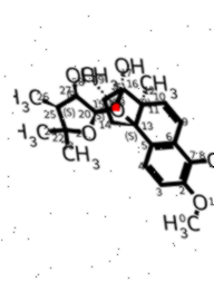 COc1ccc2c(c1C)C=C[C@@]1(C)[C@]23CC[C@]1(O)[C@H](C)[C@]1(OC(C)(C)[C@@H](C)[C@H]1O)O3